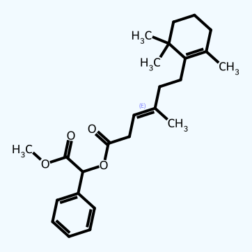 COC(=O)C(OC(=O)C/C=C(\C)CCC1=C(C)CCCC1(C)C)c1ccccc1